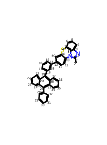 Cc1nc2cccc3c2n1-c1ccc(-c2cccc(-c4c5ccccc5c(-c5ccccc5)c5ccccc45)c2)cc1S3